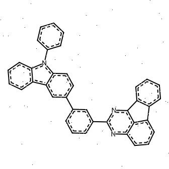 c1ccc(-n2c3ccccc3c3cc(-c4cccc(-c5nc6c7c(cccc7n5)-c5ccccc5-6)c4)ccc32)cc1